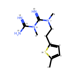 Cc1ccc(CCN(C)C(=N)N(C)C(=N)N)s1